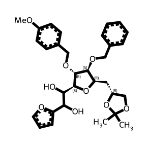 COc1ccc(CO[C@@H]2[C@@H](OCc3ccccc3)[C@@H](C[C@@H]3COC(C)(C)O3)O[C@H]2C(O)C(O)c2ccco2)cc1